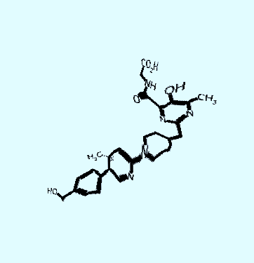 Cc1nc(CC2CCN(C3=C[C@@H](C)C(c4ccc(CO)cc4)C=N3)CC2)nc(C(=O)NCC(=O)O)c1O